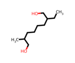 CCC(CO)CCCCC(C)CO